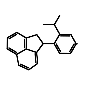 CC(C)c1c[c]ccc1C1Cc2cccc3cccc1c23